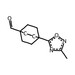 Cc1noc(C23CCC(C=O)(CC2)CC3)n1